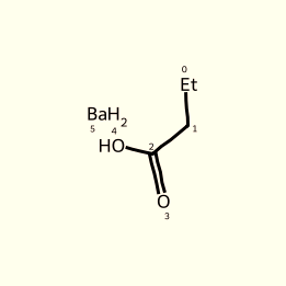 CCCC(=O)O.[BaH2]